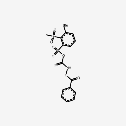 CC(C)(C)c1cccc(S(=O)(=O)OC(=O)NOC(=O)c2ccccc2)c1S(C)(=O)=O